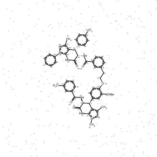 COc1cc([C@H]2c3c(C)nn(C)c3NC(=O)[C@H]2NC(=O)c2cccc(C)c2)ccc1OCCc1cccc(C(=O)N[C@@H]2C(=O)Nc3c(c(C)nn3-c3ccccc3)[C@@H]2c2ccc(C(F)(F)F)cc2)c1